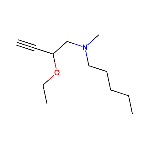 C#CC(CN(C)CCCCC)OCC